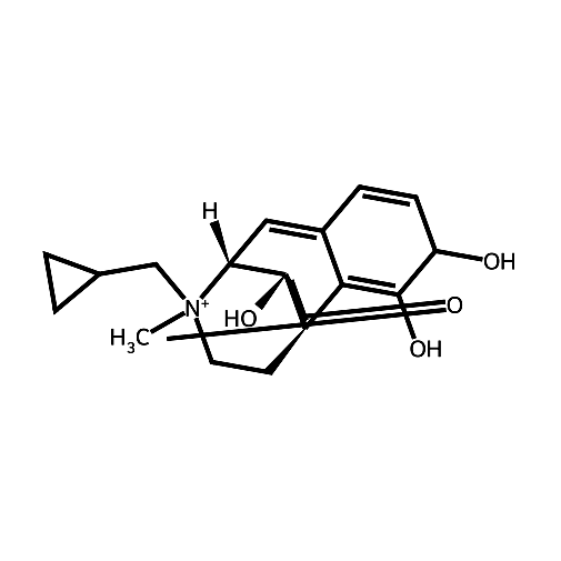 C[N+]1(CC2CC2)CC[C@]23CC(=O)CC[C@@]2(O)[C@H]1C=C1C=CC(O)C(O)=C13